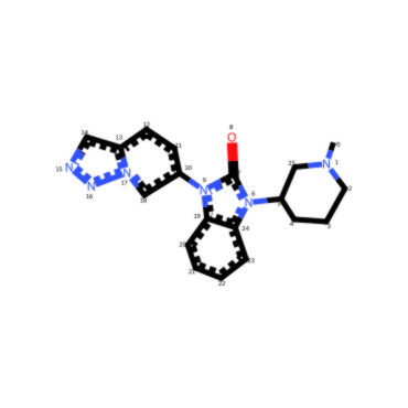 CN1CCCC(n2c(=O)n(-c3ccc4cnnn4c3)c3ccccc32)C1